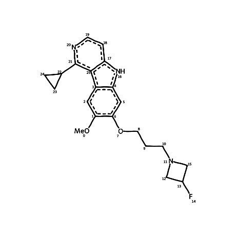 COc1cc2c(cc1OCCCN1CC(F)C1)[nH]c1ccnc(C3CC3)c12